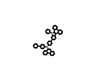 c1ccc(-c2ccc(N(c3ccc(-c4ccc5c6c7ccccc7c7ccccc7c6n(-c6ccccc6)c5c4)cc3)c3cc4ccccc4c4ccccc34)cc2)cc1